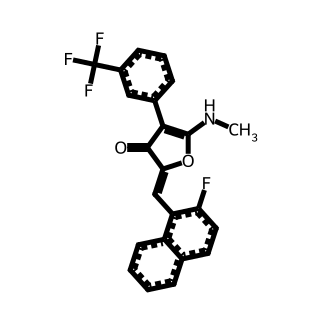 CNC1=C(c2cccc(C(F)(F)F)c2)C(=O)C(=Cc2c(F)ccc3ccccc23)O1